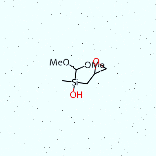 COC(OC)[Si](C)(O)CC1CO1